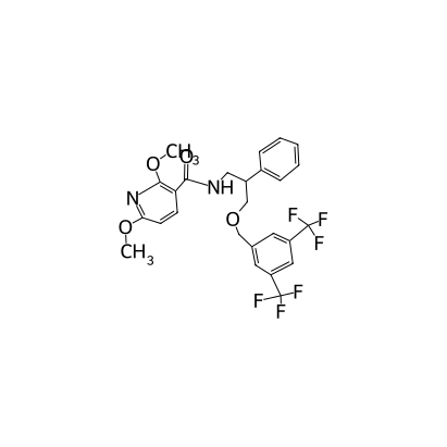 COc1ccc(C(=O)NCC(COCc2cc(C(F)(F)F)cc(C(F)(F)F)c2)c2ccccc2)c(OC)n1